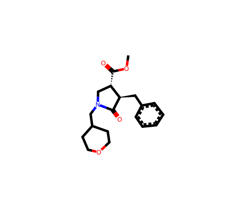 COC(=O)[C@H]1CN(CC2CCOCC2)C(=O)[C@@H]1Cc1ccccc1